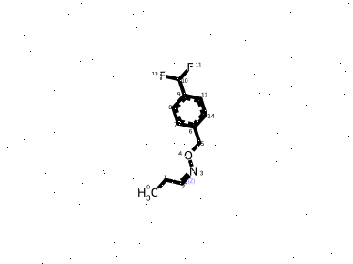 CC/[C]=N\OCc1ccc(C(F)F)cc1